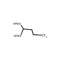 CCCCCCC(CCCCCC)CCC(F)(F)F